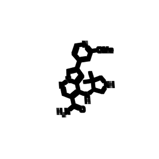 COc1cc(-c2cc3c(N[C@@H]4CNCC4(C)C)c(C(N)=O)cnn3c2)ccn1